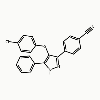 N#Cc1ccc(-c2n[nH]c(-c3ccccc3)c2Sc2ccc(Cl)cc2)cc1